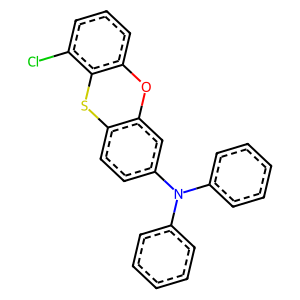 Clc1cccc2c1Sc1ccc(N(c3ccccc3)c3ccccc3)cc1O2